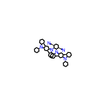 N#Cc1ccc(C#N)c(-n2c3ccccc3c3cc4c(cc32)c2ccccc2n4-c2ccccc2)c1-n1c2ccccc2c2cc3c(cc21)c1ccccc1n3-c1ccccc1